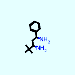 CC(C)(C)C(N)CC(N)c1ccccc1